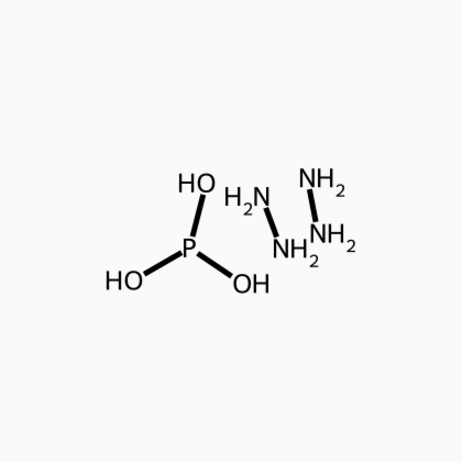 NN.NN.OP(O)O